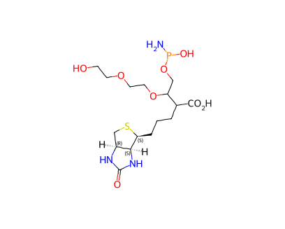 NP(O)OCC(OCCOCCO)C(CCC[C@@H]1SC[C@@H]2NC(=O)N[C@@H]21)C(=O)O